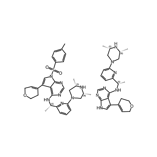 C[C@@H]1CN(c2cccc([C@H](C)Nc3ncnc4[nH]cc(C5=CCOCC5)c34)n2)C[C@H](C)N1.Cc1ccc(S(=O)(=O)n2cc(C3=CCOCC3)c3c(N[C@@H](C)c4cccc(N5C[C@@H](C)N[C@@H](C)C5)n4)ncnc32)cc1